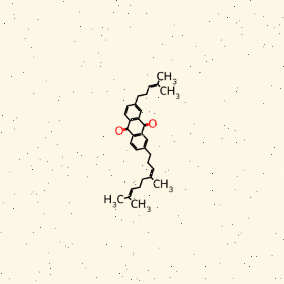 CC(C)=CCCC(C)=CCCc1ccc2c(c1)C(=O)c1cc(CCC=C(C)C)ccc1C2=O